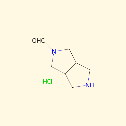 Cl.O=CN1CC2CNCC2C1